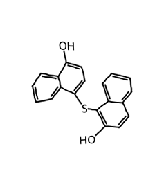 Oc1ccc2ccccc2c1Sc1ccc(O)c2ccccc12